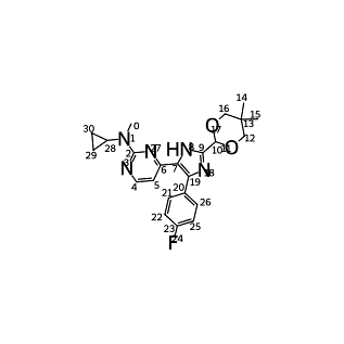 CN(c1nccc(-c2[nH]c(C3OCC(C)(C)CO3)nc2-c2ccc(F)cc2)n1)C1CC1